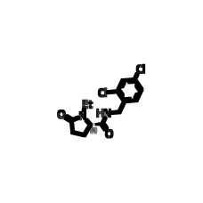 CCN1C(=O)CC[C@H]1C(=O)NCc1ccc(Cl)cc1Cl